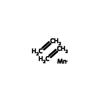 C=C.C=C.[Mn]